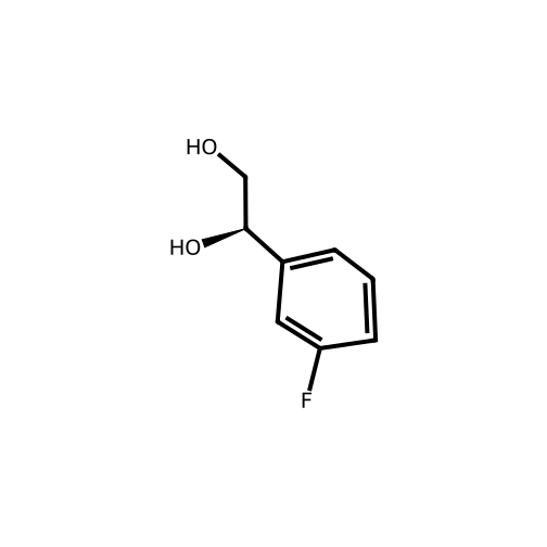 OC[C@H](O)c1cccc(F)c1